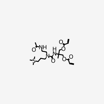 C=CC(=O)OCC(C)(COC(=O)C=C)NC(=O)N(CCCS(C)(C)C)CCNC(C)=O